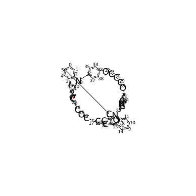 c1cc2c3cc1COCc1ccc4c(c1)c1cc5ccc1n4-c1cnc(cn1)OCCCOc1ccc(cc1)-n2c1ccc(cc31)COC5